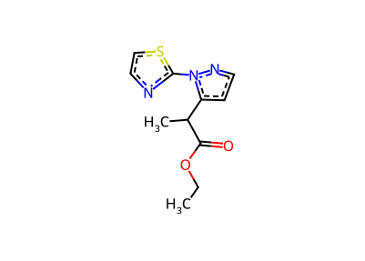 CCOC(=O)C(C)c1ccnn1-c1nccs1